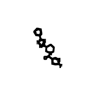 O=C(c1ccc(F)nc1)N1CCC[C@H](n2nnc(-c3ccccc3)n2)C1